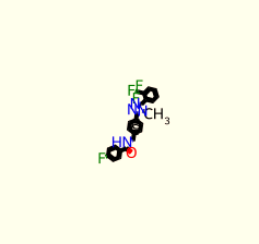 Cn1c(-c2ccccc2C(F)(F)F)nnc1C12CCC(CNC(=O)c3ccc(F)cc3)(CC1)CC2